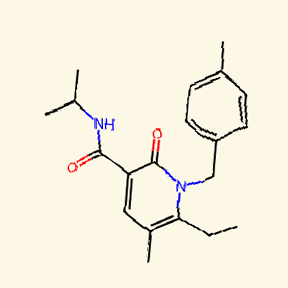 CCc1c(C)cc(C(=O)NC(C)C)c(=O)n1Cc1ccc(C)cc1